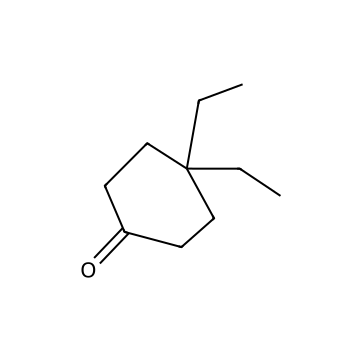 CCC1(CC)CCC(=O)CC1